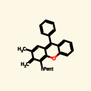 C=c1c(C)cc2c(c1CCCCC)Oc1ccccc1C=2c1ccccc1